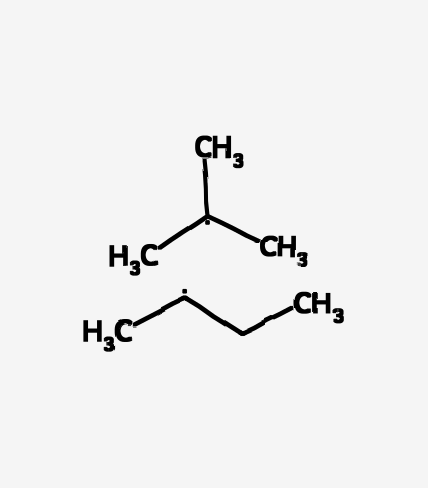 C[CH]CC.C[C](C)C